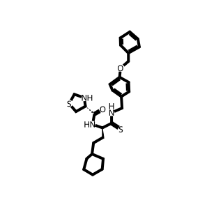 O=C(N[C@H](CCC1CCCCC1)C(=S)NCc1ccc(OCc2ccccc2)cc1)[C@@H]1CSCN1